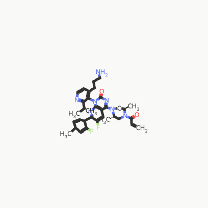 C=CC(=O)N1C[C@H](C)N(c2nc(=O)n(-c3c(CCCN)ccnc3C(C)C)c3nc(C4C=CC(C)C=C4F)c(F)cc23)C[C@H]1C